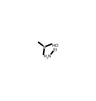 CCN.CN(C)C.Cl